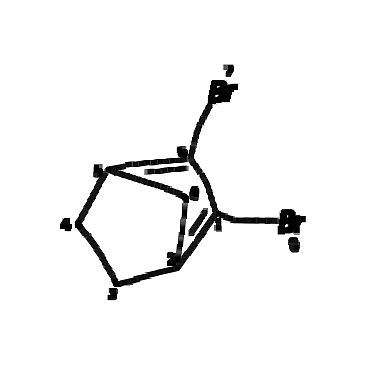 BrC1=C2CCC(=C1Br)C2